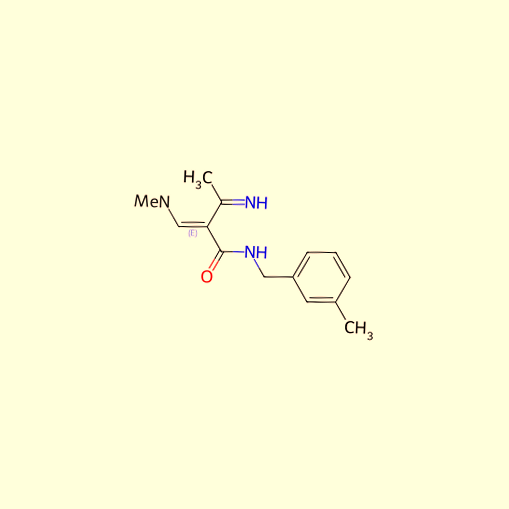 CN/C=C(\C(C)=N)C(=O)NCc1cccc(C)c1